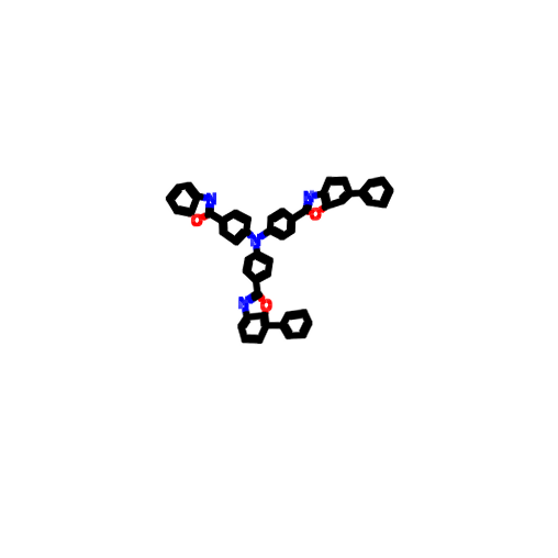 c1ccc(-c2ccc3nc(-c4ccc(N(c5ccc(-c6nc7ccccc7o6)cc5)c5ccc(-c6nc7cccc(-c8ccccc8)c7o6)cc5)cc4)oc3c2)cc1